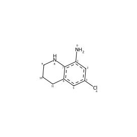 Nc1cc(Cl)cc2c1NCCC2